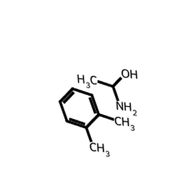 CC(N)O.Cc1ccccc1C